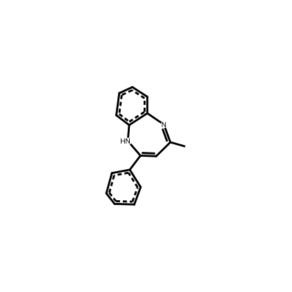 CC1=Nc2ccccc2NC(c2ccccc2)=C1